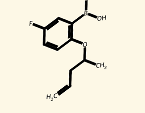 C=CCC(C)Oc1ccc(F)cc1B(O)O